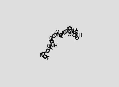 CC(C(=O)Nc1ccc(OC2CCN(C(=O)c3cccc(N4CCN(c5cccc6c5C(=O)N(C5CCC(=O)NC5=O)C6=O)CC4)c3)CC2)cc1)C1CCC(c2ccnc3ccc(F)cc23)CC1